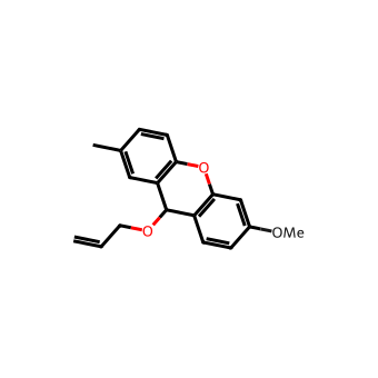 C=CCOC1c2ccc(OC)cc2Oc2ccc(C)cc21